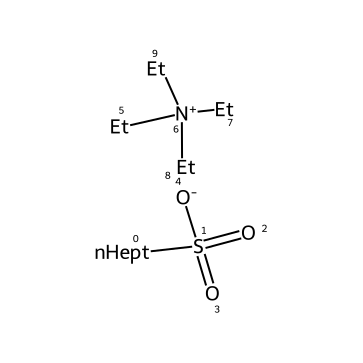 CCCCCCCS(=O)(=O)[O-].CC[N+](CC)(CC)CC